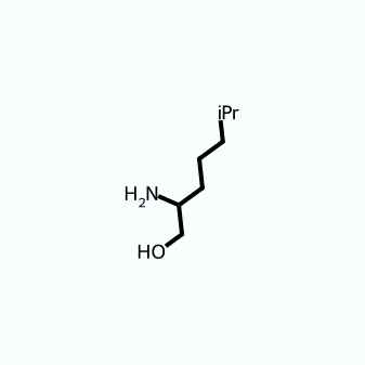 CC(C)CCCC(N)CO